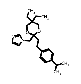 CCC1(CC)COC(CCc2ccc(C(C)C)cc2)(Cn2ccnc2)OC1